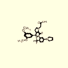 COc1cc(OC)cc(-c2nn(-c3cc(N4CCCC4)ccc3C(F)(F)F)c(=O)c3c2CCN3CC(=O)O)c1